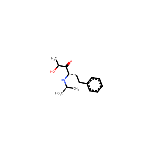 CC(O)C(=O)[C@H](CCc1ccccc1)N[C@@H](C)C(=O)O